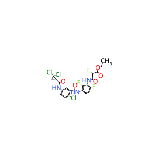 CCOC(=O)C(F)C(=O)Nc1c(F)ccc(NC(=O)c2cc(NC(=O)C3CC3(Cl)Cl)ccc2Cl)c1F